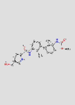 Cc1c(NC(=O)OC(C)(C)C)cccc1-c1cccc(NC(=O)c2ccc(CO)cn2)c1C